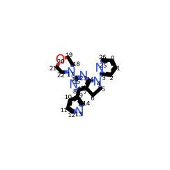 c1ccc(N2CCc3c(-c4cccnc4)nc(N4CCOCC4)nc32)nc1